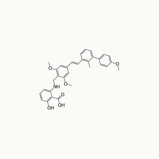 COc1ccc(-c2cccc(C=Cc3cc(OC)c(CNc4cccc(O)c4C(=O)O)c(OC)c3)c2C)cc1